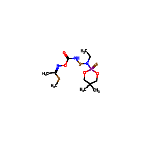 CCN(SNC(=O)ON=C(C)SC)P1(=S)OCC(C)(C)CO1